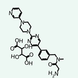 CN(Cc1cccc(-c2cnc(N3CCN(c4cccnc4)CC3)nc2)c1)C(=O)CN.O=C(O)C(O)C(O)C(=O)O